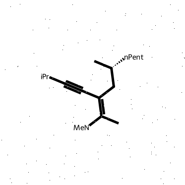 CCCCC[C@@H](C)C/C(C#CC(C)C)=C(\C)NC